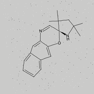 CC1(C)CC(C)(C)[C@]2(C=Nc3cc4ccccc4cc3O2)N1